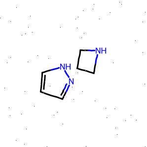 C1CNC1.c1cn[nH]c1